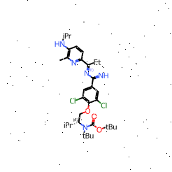 CC/C(=N\C(=N)c1cc(Cl)c(OC[C@@H](C(C)C)N(C(=O)OC(C)(C)C)C(C)(C)C)c(Cl)c1)c1ccc(NC(C)C)c(C)n1